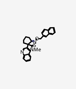 CNC(=S)C1(c2cnc3ccccc3c2)CCCC/C1=N\OCc1ccc2ccccc2c1